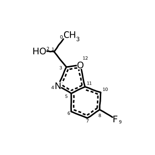 CC(O)c1nc2ccc(F)cc2o1